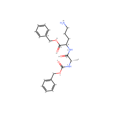 C[C@H](NC(=O)OCc1ccccc1)C(=O)NC(CCCN)C(=O)OCc1ccccc1